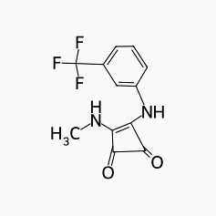 CNc1c(Nc2cccc(C(F)(F)F)c2)c(=O)c1=O